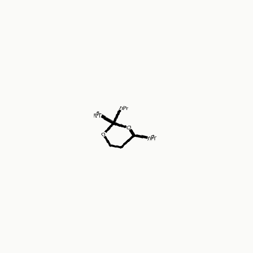 CCCC1CCOC(CCC)(CCC)O1